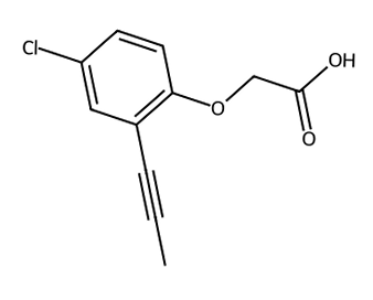 CC#Cc1cc(Cl)ccc1OCC(=O)O